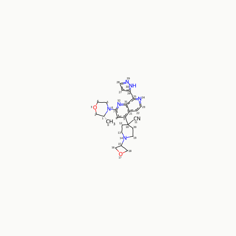 C[C@@H]1COCCN1c1cc(C2(C#N)CCN(C3COC3)CC2)c2ccnc(-c3ccn[nH]3)c2n1